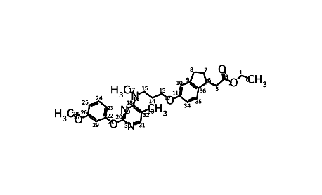 CCOC(=O)C[C@@H]1CCc2cc(OCCCN(C)c3nc(Oc4cccc(OC)c4)ncc3C)ccc21